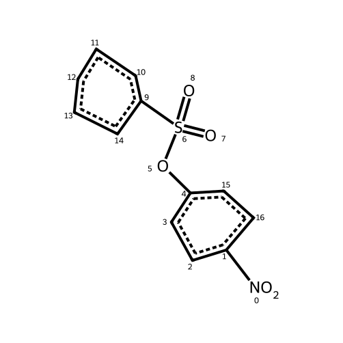 O=[N+]([O-])c1ccc(OS(=O)(=O)c2ccccc2)cc1